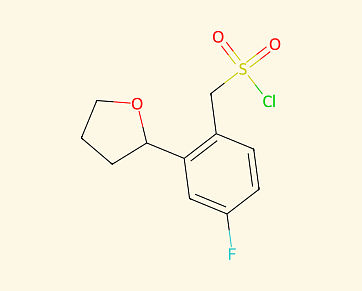 O=S(=O)(Cl)Cc1ccc(F)cc1C1CCCO1